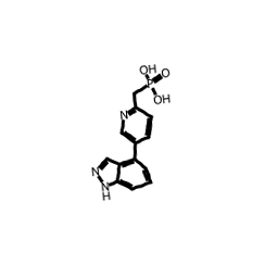 O=P(O)(O)Cc1ccc(-c2cccc3[nH]ncc23)cn1